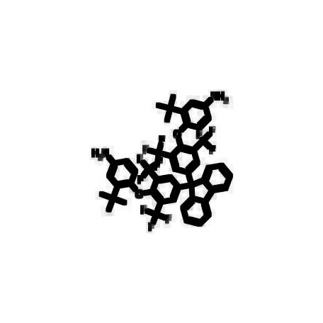 CC(C)(C)c1cc(N)ccc1Oc1c(C(F)(F)F)cc(C2(c3cc(C(F)(F)F)c(Oc4ccc(N)cc4C(C)(C)C)c(C(F)(F)F)c3)c3ccccc3-c3ccccc32)cc1C(F)(F)F